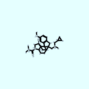 COc1ccc2c(c1)C13C4C5CCC1(C[C@@H]4CN5C(=O)N(C)C)C3(CN(C)CC1CC1)C2